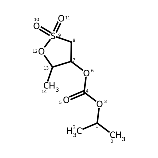 CC(C)OC(=O)OC1CS(=O)(=O)OC1C